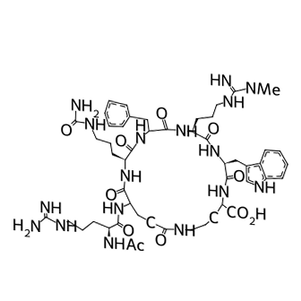 CNC(=N)NCCC[C@@H]1NC(=O)C(Cc2ccccc2)NC(=O)[C@H](CCCNC(N)=O)NC(=O)C(NC(=O)[C@H](CCCNC(=N)N)NC(C)=O)CCC(=O)NCCCC(C(=O)O)NC(=O)[C@H](Cc2c[nH]c3ccccc23)NC1=O